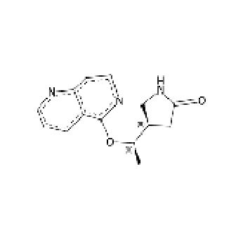 C[C@@H](Oc1nccc2ncccc12)[C@H]1CNC(=O)C1